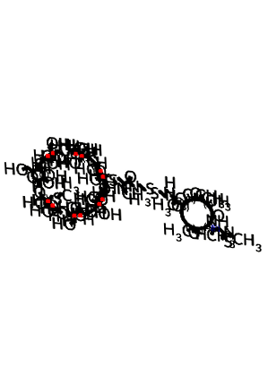 CCSCC1O[C@@H]2O[C@@H]3C(CO)O[C@H](O[C@@H]4C(CO)O[C@H](O[C@@H]5C(CSCC(NC)C(=O)NCCSSCCNC(=O)O[C@H]6[C@@H](C)CCC[C@@]7(C)O[C@H]7C[C@@H](/C(C)=C/c7csc(C)n7)NC(=O)C[C@H](O)C(C)(C)C(=O)[C@@H]6C)O[C@H](O[C@@H]6C(CO)O[C@H](O[C@@H]7C(CO)O[C@H](O[C@H]8C(CO)O[C@H](O[C@H]1[C@H](O)C2O)C(O)[C@H]8O)C(O)[C@H]7O)[C@@H](O)C6O)[C@@H](O)C5O)[C@@H](O)C4O)[C@@H](O)C3O